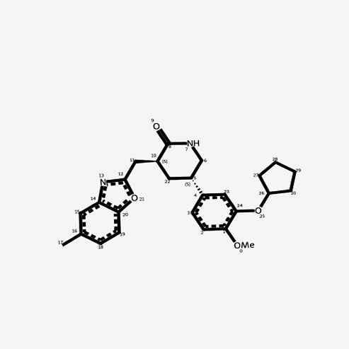 COc1ccc([C@H]2CNC(=O)[C@H](Cc3nc4cc(C)ccc4o3)C2)cc1OC1CCCC1